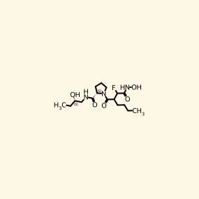 CCCCC(C(=O)N1CCC[C@H]1C(=O)NC[C@@H](O)CC)C(F)C(=O)NO